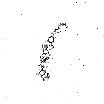 NCCCNCc1ccc(C(=O)Nc2ccc(S(=O)(=O)N3CCN(c4nccc(C(F)(F)F)n4)CC3)cc2)cc1